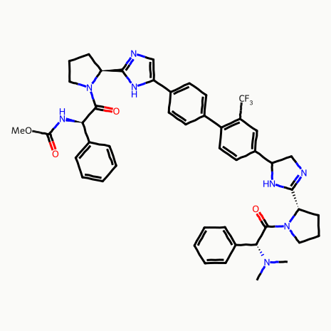 COC(=O)N[C@@H](C(=O)N1CCC[C@H]1c1ncc(-c2ccc(-c3ccc(C4CN=C([C@@H]5CCCN5C(=O)[C@@H](c5ccccc5)N(C)C)N4)cc3C(F)(F)F)cc2)[nH]1)c1ccccc1